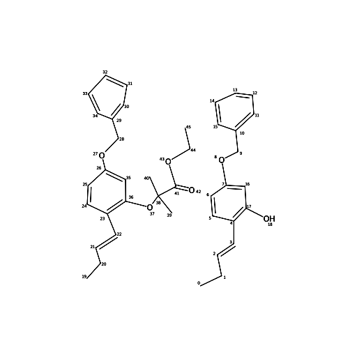 CC/C=C/c1ccc(OCc2ccccc2)cc1O.CC/C=C/c1ccc(OCc2ccccc2)cc1OC(C)(C)C(=O)OCC